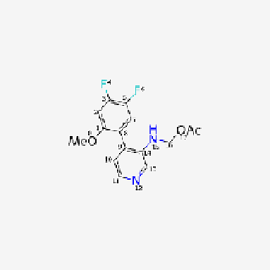 COc1cc(F)c(F)cc1-c1ccncc1NCOC(C)=O